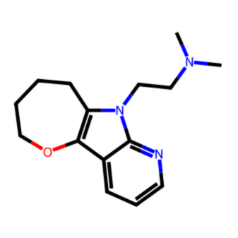 CN(C)CCn1c2c(c3cccnc31)OCCCC2